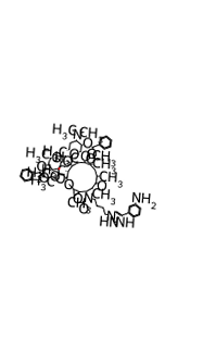 CO[C@]1(C)CC(O[C@H]2[C@H](C)[C@@H](OC3O[C@H](C)C[C@H](N(C)C)[C@H]3OC(=O)c3ccccc3)[C@@](C)(OC)C[C@@H](C)C(=O)[C@H](C)C3N(CCCCN4C=C(c5cccc(N)c5)NN4)C(=O)O[C@@]34C(C)C4OC(=O)[C@@H]2C)O[C@@H](C)[C@@H]1OC(=O)c1ccccc1